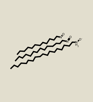 CCCCCCCCCCCCCCCCCC[NH2+][O-].CCCCCCCCCCCCCCN=O.CCCCCCCCCCCCN=O